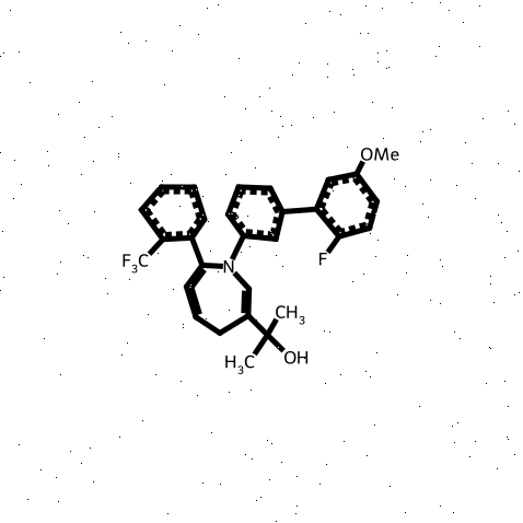 COc1ccc(F)c(-c2cccc(N3C=C(C(C)(C)O)CC=C=C3c3ccccc3C(F)(F)F)c2)c1